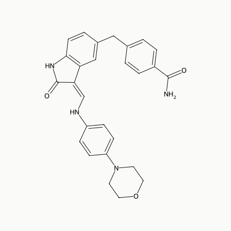 NC(=O)c1ccc(Cc2ccc3c(c2)C(=CNc2ccc(N4CCOCC4)cc2)C(=O)N3)cc1